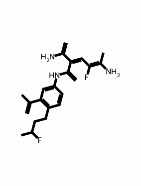 C=C(N)/C(=C/C(F)=C(\C)N)C(=C)Nc1ccc(CCC(C)F)c(C(=C)C)c1